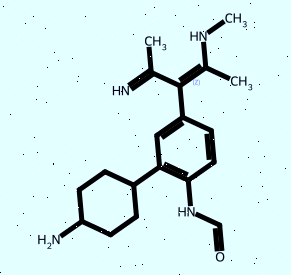 CN/C(C)=C(\C(C)=N)c1ccc(NC=O)c(C2CCC(N)CC2)c1